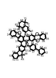 Cc1cc2c(cc1N1c3cc4c(cc3B3c5c(cc6c(oc7ccccc76)c51)-c1cc5c(cc1N3c1ccc(-c3ccccc3)cc1)C(C)(C)c1ccccc1-5)Oc1ccccc1O4)C(C)(C)CCC2(C)C